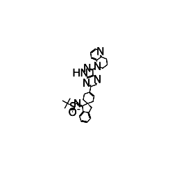 CC(C)(C)[S@@+]([O-])N=C1c2ccccc2C[C@@]12CC=C(c1cnc3c(N4CCCc5ncccc54)n[nH]c3n1)CC2